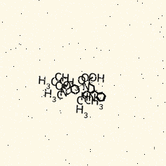 CC(C)CC1c2[nH]c3ccccc3c2CC(C(=O)O)N1C(=O)[C@H]1CC[C@H](CN(C)C(=O)OC(C)(C)C)CC1